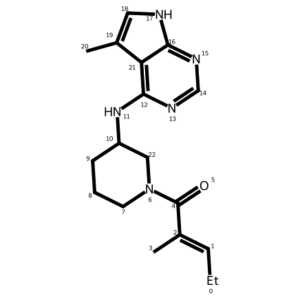 CC/C=C(\C)C(=O)N1CCCC(Nc2ncnc3[nH]cc(C)c23)C1